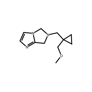 COCC1(CN2Cc3nccn3C2)CC1